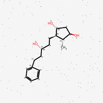 C[C@H]1C(O)C[C@@H](O)[C@@H]1CC[C@@H](O)CCc1ccccc1